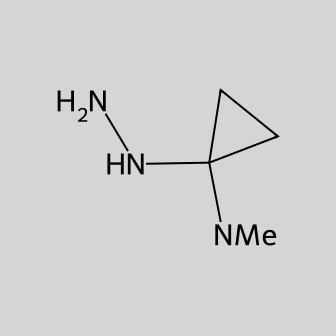 CNC1(NN)CC1